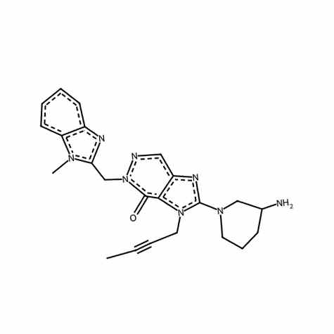 CC#CCn1c(N2CCCC(N)C2)nc2cnn(Cc3nc4ccccc4n3C)c(=O)c21